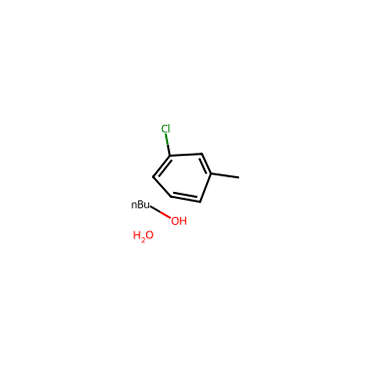 CCCCO.Cc1cccc(Cl)c1.O